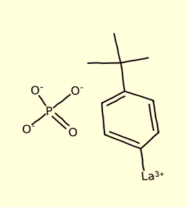 CC(C)(C)c1cc[c]([La+3])cc1.O=P([O-])([O-])[O-]